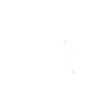 Cc1ccnc(-c2ccccc2C(N)=O)c1